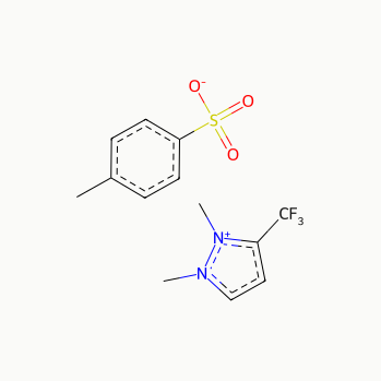 Cc1ccc(S(=O)(=O)[O-])cc1.Cn1ccc(C(F)(F)F)[n+]1C